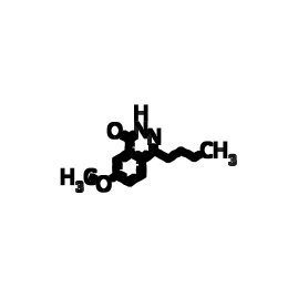 CCCCc1n[nH]c(=O)c2cc(OC)ccc12